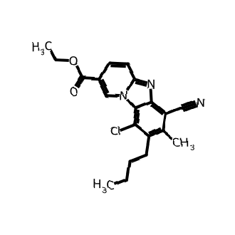 CCCCc1c(C)c(C#N)c2nc3ccc(C(=O)OCC)cn3c2c1Cl